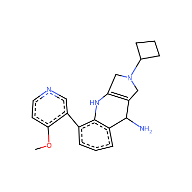 COc1ccncc1-c1cccc2c1NC1=C(CN(C3CCC3)C1)C2N